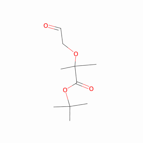 CC(C)(C)OC(=O)C(C)(C)OCC=O